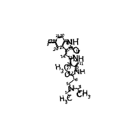 CCN(CC)CCC(=O)Nc1c[nH]c(/C=C2\C(=O)Nc3ccc(F)cc32)c1C